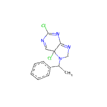 CC(c1ccccc1)N1CN=C2N=C(Cl)N=CC21Cl